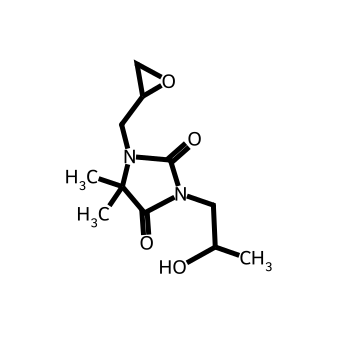 CC(O)CN1C(=O)N(CC2CO2)C(C)(C)C1=O